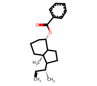 C=C[C@@H](C)C1CCC2[C@@H](OC(=O)c3ccccc3)CCC[C@]12C